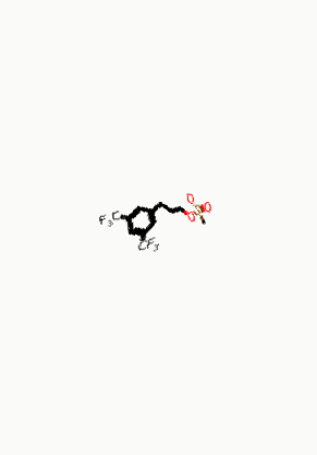 CS(=O)(=O)OCCCc1cc(C(F)(F)F)cc(C(F)(F)F)c1